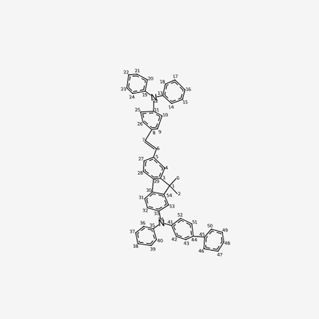 CC1(C)c2cc(/C=C/c3ccc(N(c4ccccc4)c4ccccc4)cc3)ccc2-c2ccc(N(c3ccccc3)c3ccc(-c4ccccc4)cc3)cc21